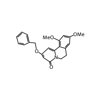 COc1cc2c(c(OC)c1)-c1cc(OCc3ccccc3)cc(=O)n1CC2